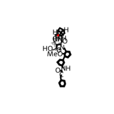 COc1c(CN2O[C@@H](CO)[C@H]([C@H](C)O)[C@H]2C(=O)N[C@H]2C[C@H]3C[C@@H]([C@@H]2C)C3(C)C)cccc1-c1cccc(NC(=O)CCc2ccccc2)c1